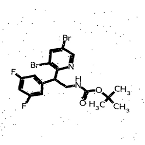 CC(C)(C)OC(=O)NCC(c1cc(F)cc(F)c1)c1ncc(Br)cc1Br